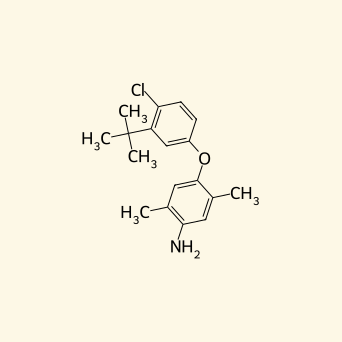 Cc1cc(Oc2ccc(Cl)c(C(C)(C)C)c2)c(C)cc1N